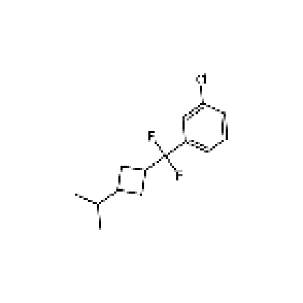 CC(C)C1CC(C(F)(F)c2cccc(Cl)c2)C1